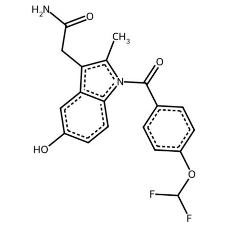 Cc1c(CC(N)=O)c2cc(O)ccc2n1C(=O)c1ccc(OC(F)F)cc1